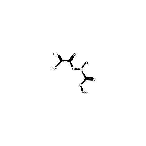 [CH2]CCOC(=O)N(CC)OC(=O)C(=C)C